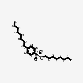 CCCCCCCCOS(=O)(=O)c1ccc(CCCCCCCC)cc1